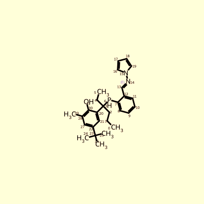 CCCC(CC)(Pc1ccccc1/C=N/n1cccc1)c1cc(C(C)(C)C)cc(C)c1O